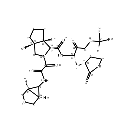 O=C(NC1[C@H]2COC[C@@H]12)C(=O)N1C[C@@H]2CCC[C@@H]2[C@H]1C(=O)N[C@@H](C[C@@H]1CCNC1=O)C(=O)COC(F)(F)F